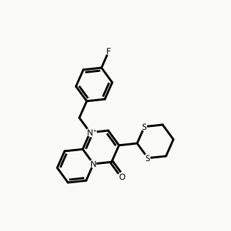 O=c1c(C2SCCCS2)c[n+](Cc2ccc(F)cc2)c2ccccn12